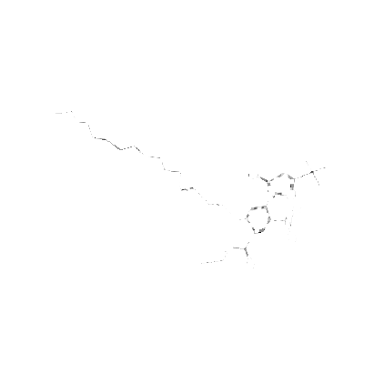 CCCCCCCCCCCCCCCCOc1cc(-n2oc(C(C)(C)C)cc2=O)c([N+](=O)[O-])cc1C(=O)OCC